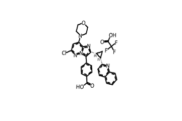 O=C(O)C(F)(F)F.O=C(O)c1ccc(-c2c([C@@H]3C[C@@H]3c3ccc4ccccc4n3)nc3c(N4CCOCC4)cc(Cl)nn23)cc1